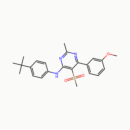 COc1cccc(-c2nc(C)nc(Nc3ccc(C(C)(C)C)cc3)c2S(C)(=O)=O)c1